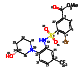 COC(=O)c1ccc(Br)c(S(=O)(=O)Nc2cc(C(F)(F)F)ccc2N2CCC[C@@H](O)C2)c1